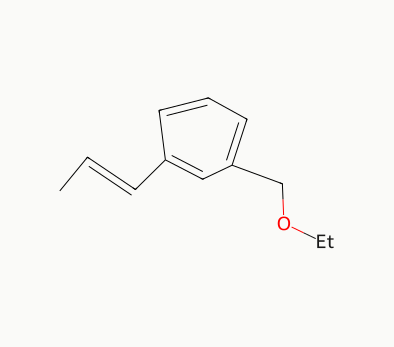 C/C=C/c1cccc(COCC)c1